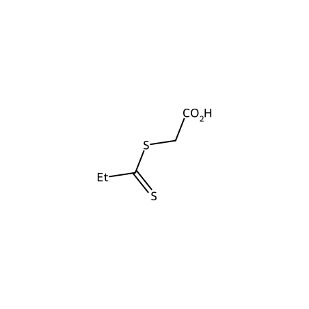 CCC(=S)SCC(=O)O